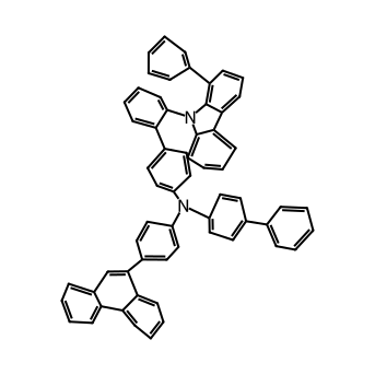 c1ccc(-c2ccc(N(c3ccc(-c4ccccc4-n4c5ccccc5c5cccc(-c6ccccc6)c54)cc3)c3ccc(-c4cc5ccccc5c5ccccc45)cc3)cc2)cc1